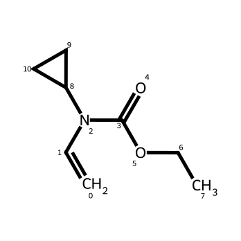 C=CN(C(=O)OCC)C1CC1